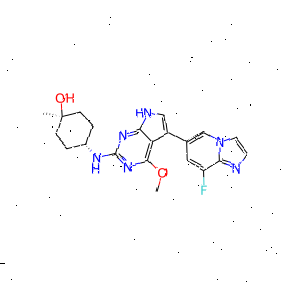 COc1nc(N[C@H]2CC[C@](C)(O)CC2)nc2[nH]cc(-c3cc(F)c4nccn4c3)c12